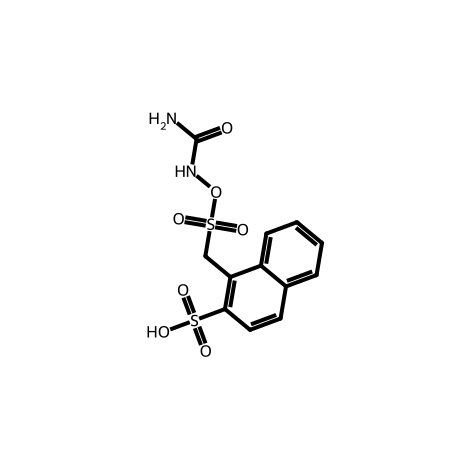 NC(=O)NOS(=O)(=O)Cc1c(S(=O)(=O)O)ccc2ccccc12